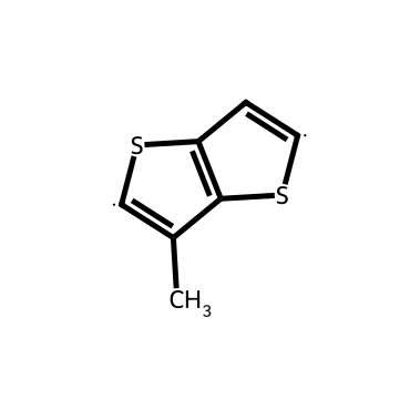 Cc1[c]sc2c[c]sc12